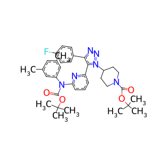 Cc1cc(C)cc(N(C(=O)OC(C)(C)C)c2cccc(-c3c(-c4ccc(F)cc4)nnn3C3CCN(C(=O)OC(C)(C)C)CC3)n2)c1